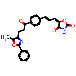 Cc1oc(-c2ccccc2)nc1CCC(=O)c1ccc(C=CC=C2OC(=O)NC2=O)cc1